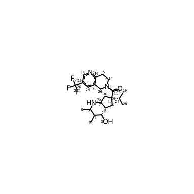 CC(CO)C(C)N[C@@H]1CC[C@@](C(=O)N2CCc3ncc(C(F)(F)F)cc3C2)(C(C)C)C1